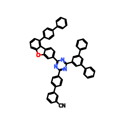 N#Cc1cccc(-c2ccc(-c3nc(-c4cc(-c5ccccc5)cc(-c5ccccc5)c4)nc(-c4ccc5c(c4)oc4cccc(-c6ccc(-c7ccccc7)cc6)c45)n3)cc2)c1